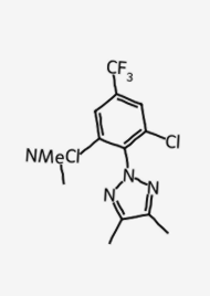 CNC.Cc1nn(-c2c(Cl)cc(C(F)(F)F)cc2Cl)nc1C